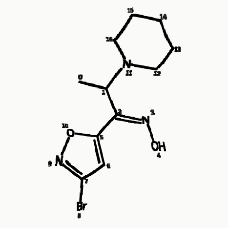 CC(C(=NO)c1cc(Br)no1)N1CCCCC1